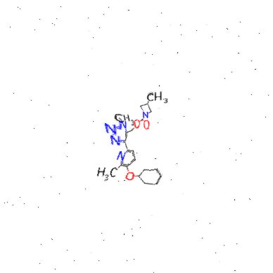 Cc1nc(-c2nnn(C)c2COC(=O)N2CC(C)C2)ccc1OC1CCCCC1